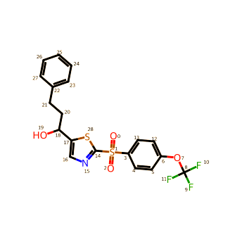 O=S(=O)(c1ccc(OC(F)(F)F)cc1)c1ncc(C(O)CCc2ccccc2)s1